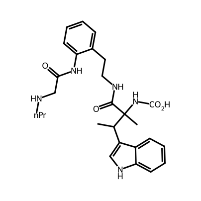 CCCNCC(=O)Nc1ccccc1CCNC(=O)C(C)(NC(=O)O)C(C)c1c[nH]c2ccccc12